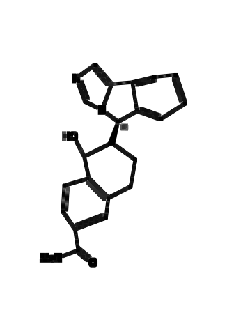 CNC(=O)c1ccc2c(c1)CCC([C@@H]1c3ccccc3-c3cncn31)C2O